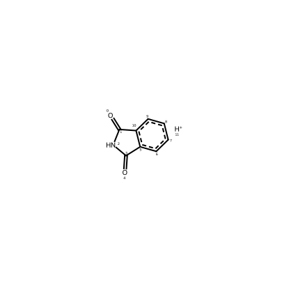 O=C1NC(=O)c2ccccc21.[H+]